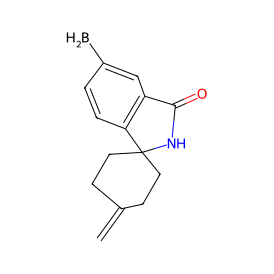 Bc1ccc2c(c1)C(=O)NC21CCC(=C)CC1